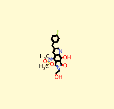 CN(c1c2c(c(O)c3ncc(Cc4ccc(F)cc4)cc13)C(=O)N(CCO)C2)S(C)(=O)=O